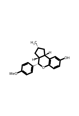 COc1ccc([C@H]2Oc3ccc(O)cc3[C@H]3C[C@@H](C)C[C@H]32)cc1